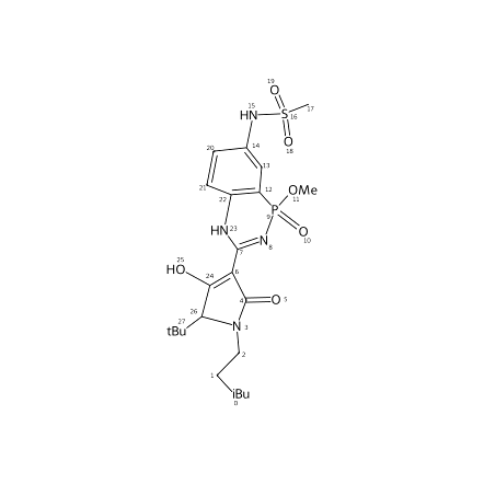 CCC(C)CCN1C(=O)C(C2=NP(=O)(OC)c3cc(NS(C)(=O)=O)ccc3N2)=C(O)C1C(C)(C)C